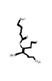 CCCCCC(CCC(=O)O)C(CCI)OC(=O)CCCNC